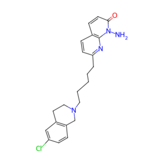 Nn1c(=O)ccc2ccc(CCCCCN3CCc4cc(Cl)ccc4C3)nc21